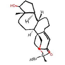 CC(C)(C)[Si](C)(C)OC[C@]12CCC(=O)C=C1CC[C@@H]1[C@@H]2CC[C@]2(C)C(O)CC[C@@H]12